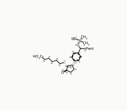 CCCCCC(O[Si](C)(C)C(C)(C)C)c1ccc([C@@H]2CCC(=O)[C@@H]2CCCCCCC(=O)O)cc1